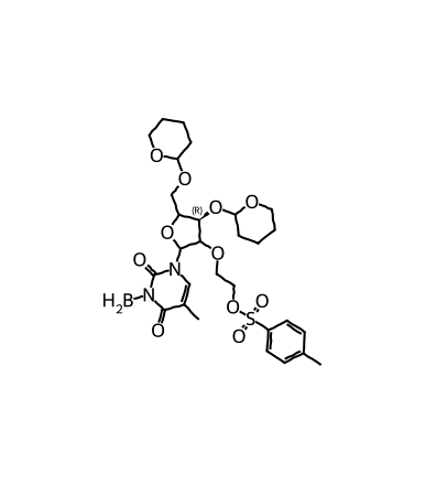 Bn1c(=O)c(C)cn(C2OC(COC3CCCCO3)[C@@H](OC3CCCCO3)C2OCCOS(=O)(=O)c2ccc(C)cc2)c1=O